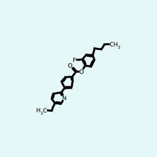 CCCCc1ccc(OC(=O)c2ccc(-c3ccc(CC)cn3)cc2)c(F)c1